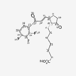 O=C(O)CCCCCC[C@H]1C(=O)CC[C@@H]1C=CC(=O)c1ccc(F)c(F)c1F